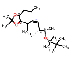 CCC[C@@H]1OC(C)(C)O[C@@H]1C(C)/C=C\[C@@H](C)[C@H](C)O[Si](C)(C)C(C)(C)C